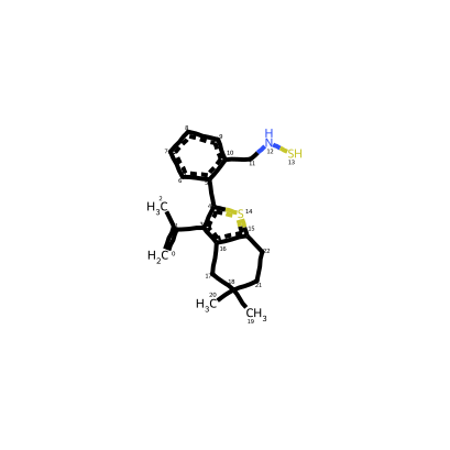 C=C(C)c1c(-c2ccccc2CNS)sc2c1CC(C)(C)CC2